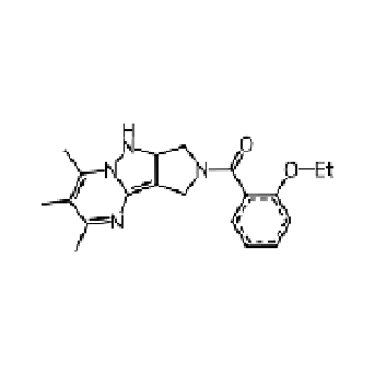 CCOc1ccccc1C(=O)N1CC2=C3N=C(C)C(C)=C(C)N3NC2C1